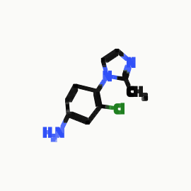 Cc1nccn1-c1ccc(N)cc1Cl